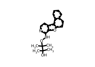 CC(C)(O)C(C)(C)OBc1nccc2c1oc1ccc3ccccc3c12